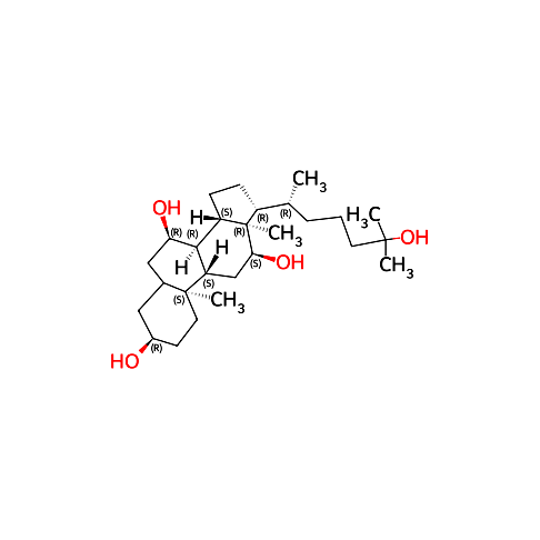 C[C@H](CCCC(C)(C)O)[C@H]1CC[C@H]2[C@@H]3[C@H](O)CC4C[C@H](O)CC[C@]4(C)[C@H]3C[C@H](O)[C@]12C